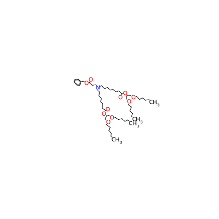 CCCCCCOCC(COCCCCCC)OC(=O)CCCCCCCN(CCCCCCCC(=O)OC(COCCCCCC)COCCCCCC)CCC(=O)OCc1ccccc1